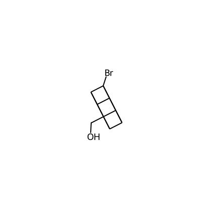 OCC12C3C4C1C1C2C3C41Br